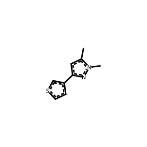 Cc1cc(-c2[c]csc2)nn1C